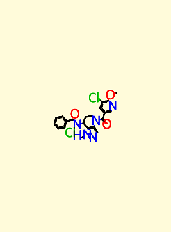 COc1ncc(C(=O)N2CCC(NC(=O)c3ccccc3Cl)c3c2cnn3C)cc1Cl